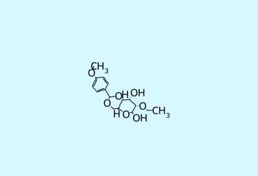 CCO[C@H]1[C@@H](O)[C@@H]2OC(c3ccc(OC)cc3)OC[C@H]2O[C@@H]1O